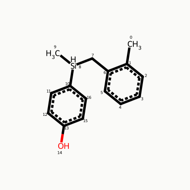 Cc1ccccc1C[SiH](C)c1ccc(O)cc1